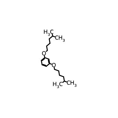 CC(C)CCCCOc1cccc(OCCCCC(C)C)c1